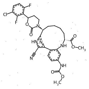 COC(=O)Nc1ccc2c(c1)N[C@@H](C(=O)OC)CCCC[C@H](N1CCC(c3c(F)ccc(Cl)c3F)OC1=O)c1nc-2c(C#N)[nH]1